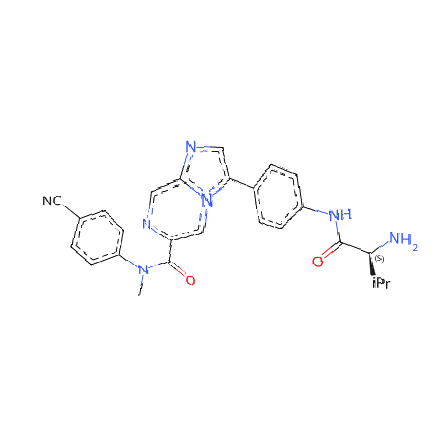 CC(C)[C@H](N)C(=O)Nc1ccc(-c2cnc3cnc(C(=O)N(C)c4ccc(C#N)cc4)cn23)cc1